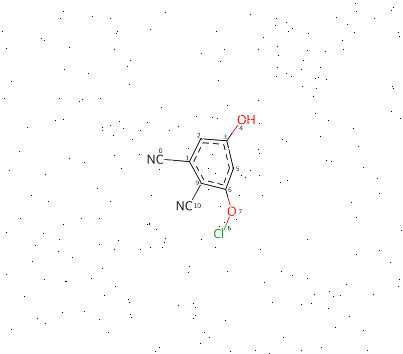 N#Cc1cc(O)cc(OCl)c1C#N